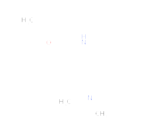 CCOc1cc2c(N(C)C)cccc2[nH]1